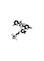 CC1(C)C[C@H](CCCOC(N)=O)CN1c1nc(Br)ccc1C(=O)NS(=O)(=O)c1cccc(F)n1